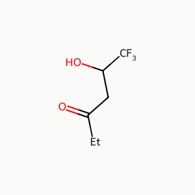 CCC(=O)CC(O)C(F)(F)F